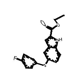 CCOC(=O)c1cc2cc(Sc3ccc(F)cc3)ccc2[nH]1